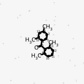 Cc1ccc(C(=O)c2c(C)cccc2C)c(C)c1